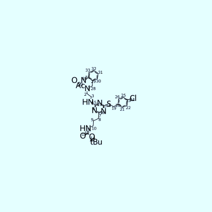 CC(=O)N(CCNc1nc(CCCNC(=O)OC(C)(C)C)nc(SCc2ccc(Cl)cc2)n1)Cc1ccccc1[N+](=O)[O-]